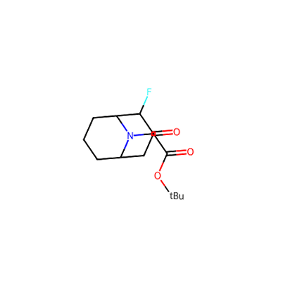 CC(C)(C)OC(=O)CN1C2CCCC1C(F)C(=O)C2